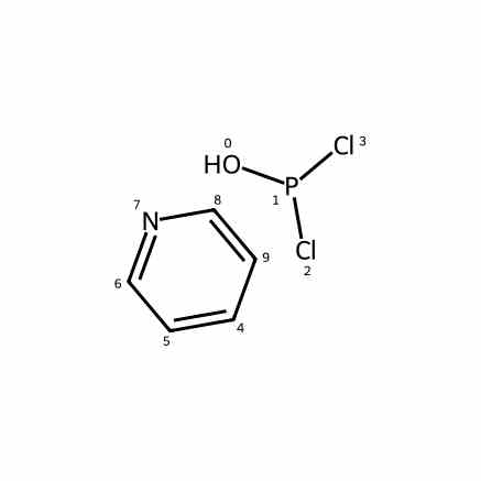 OP(Cl)Cl.c1ccncc1